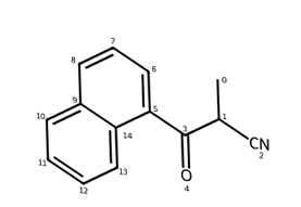 CC(C#N)C(=O)c1cccc2ccccc12